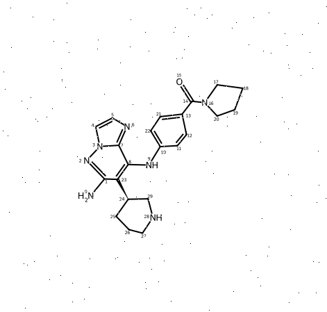 Nc1nn2ccnc2c(Nc2ccc(C(=O)N3CCCC3)cc2)c1[C@@H]1CCCNC1